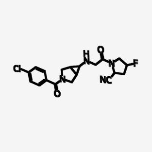 N#CC1CC(F)CN1C(=O)CNC1C2CN(C(=O)c3ccc(Cl)cc3)CC21